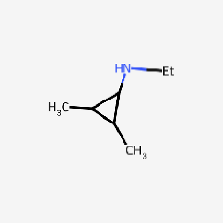 CCNC1C(C)C1C